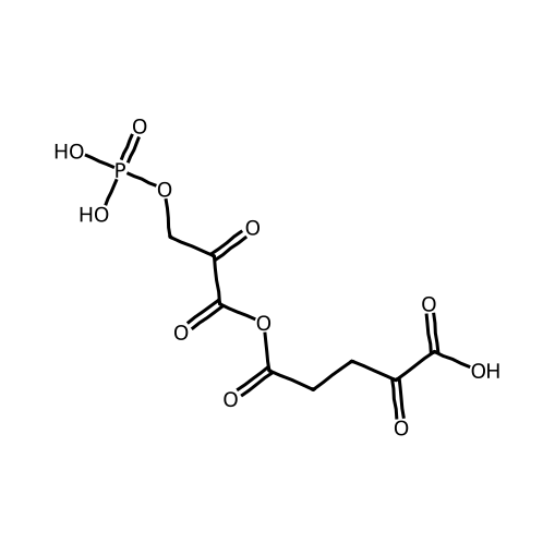 O=C(CCC(=O)C(=O)O)OC(=O)C(=O)COP(=O)(O)O